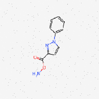 NOC(=O)c1ccn(-c2ccccc2)n1